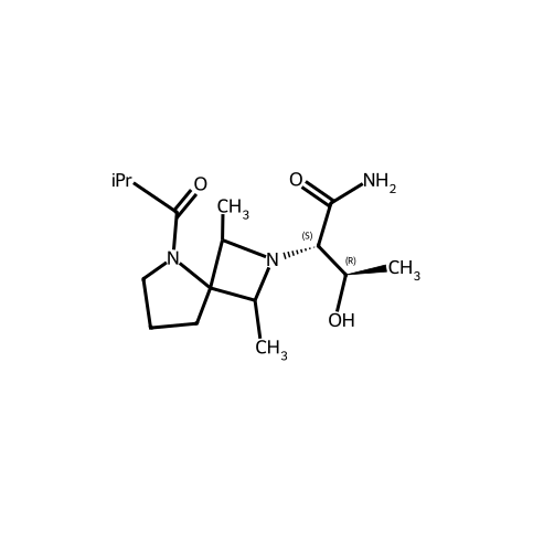 CC(C)C(=O)N1CCCC12C(C)N([C@H](C(N)=O)[C@@H](C)O)C2C